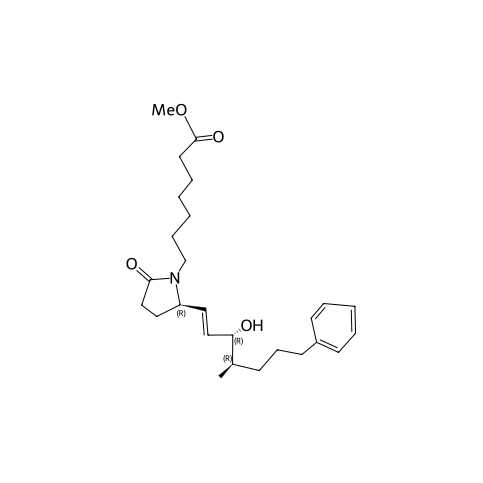 COC(=O)CCCCCCN1C(=O)CC[C@@H]1C=C[C@H](O)[C@H](C)CCCc1ccccc1